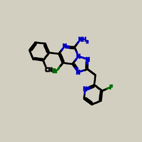 N#Cc1ccccc1-c1nc(N)n2nc(Cc3ncccc3F)nc2c1Br